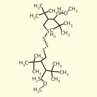 CO[SiH2]C(C(CSSSSCC(C([SiH2]OC)C(C)(C)C)C(C)(C)C)C(C)(C)C)C(C)(C)C